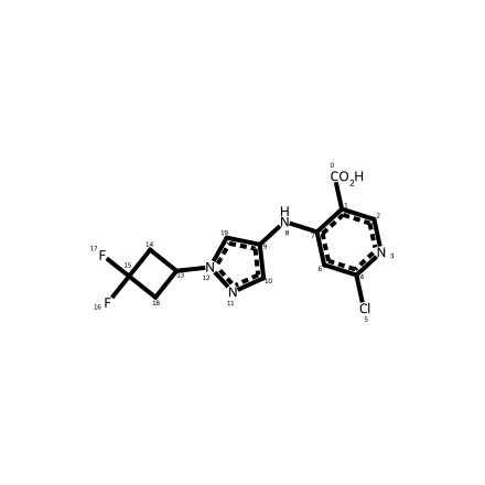 O=C(O)c1cnc(Cl)cc1Nc1cnn(C2CC(F)(F)C2)c1